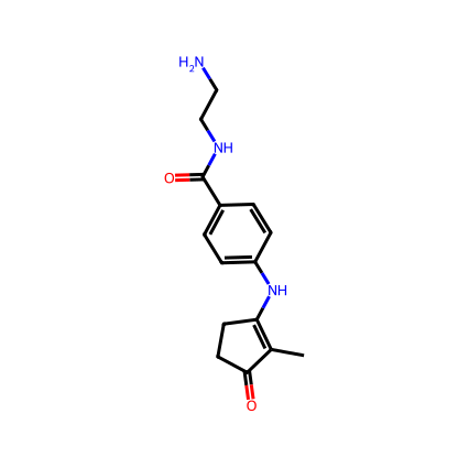 CC1=C(Nc2ccc(C(=O)NCCN)cc2)CCC1=O